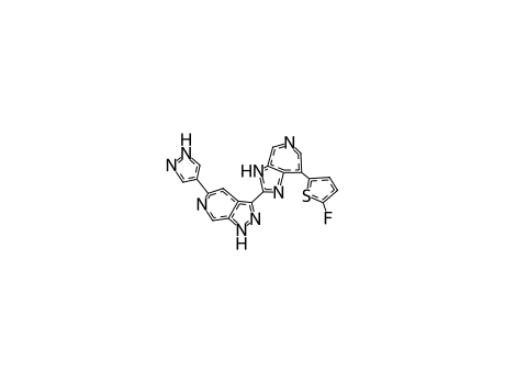 Fc1ccc(-c2cncc3[nH]c(-c4n[nH]c5cnc(-c6cn[nH]c6)cc45)nc23)s1